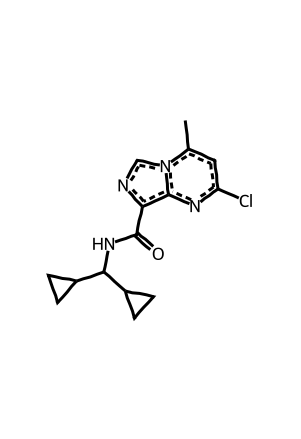 Cc1cc(Cl)nc2c(C(=O)NC(C3CC3)C3CC3)ncn12